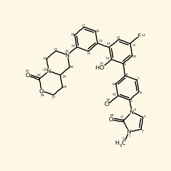 Cn1ccn(-c2ccc(-c3cc(F)cc(-c4cccc(N5CCN6C(=O)OCCC6C5)c4)c3O)cc2Cl)c1=O